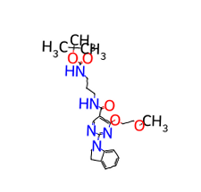 COCCOc1nc(N2CCc3ccccc32)ncc1C(=O)NCCCNC(=O)OC(C)(C)C